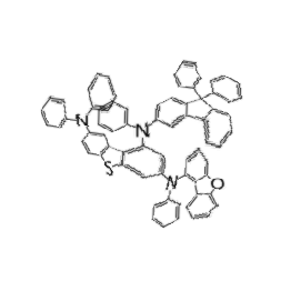 c1ccc(N(c2ccccc2)c2ccc3sc4cc(N(c5ccccc5)c5cccc6oc7ccccc7c56)cc(N(c5ccccc5)c5ccc6c(c5)-c5ccccc5C6(c5ccccc5)c5ccccc5)c4c3c2)cc1